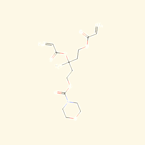 C=CC(=O)OCCC(C)(CCOC(=O)N1CCOCC1)OC(=O)C=C